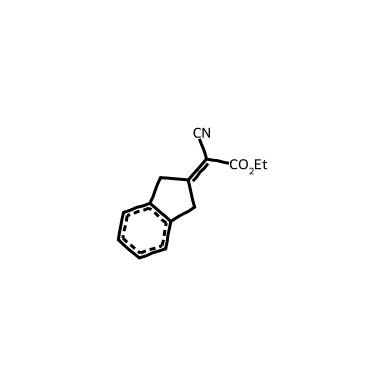 CCOC(=O)C(C#N)=C1Cc2ccccc2C1